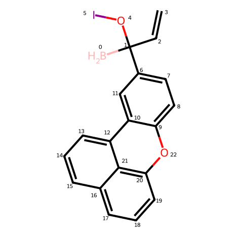 BC(C=C)(OI)c1ccc2c(c1)-c1cccc3cccc(c13)O2